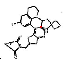 O=C1C2CC2C(=O)N1Cc1cc2nccc(-c3cc(Cl)cc4c3N([C@@H]3CNC5(CCC5)C3)CCC4)c2s1